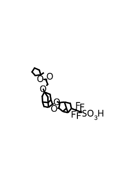 CC1(OC(=O)COC23CC4CC(C2)C2(OC5C6CC(C(F)(F)C(F)(F)S(=O)(=O)O)C7C6C7C5O2)C(C4)C3)CCCC1